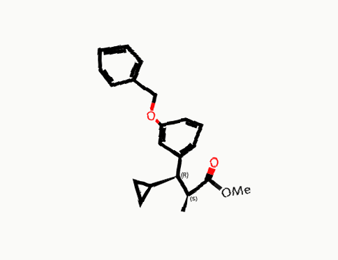 COC(=O)[C@@H](C)[C@H](c1cccc(OCc2ccccc2)c1)C1CC1